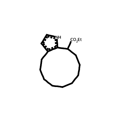 CCOC(=O)C1CCCCCCCCCc2cc[nH]c21